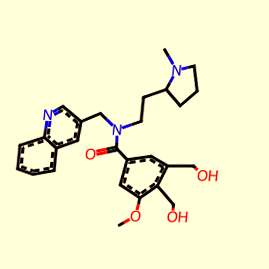 COc1cc(C(=O)N(CCC2CCCN2C)Cc2cnc3ccccc3c2)cc(CO)c1CO